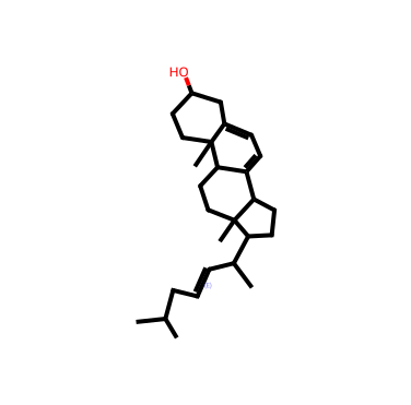 CC(C)C/C=C/C(C)C1CCC2C3=CC=C4CC(O)CCC4(C)C3CCC21C